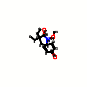 CCC1(CC)CC2(C=CC(=O)C=C2)N(OC)C1=O